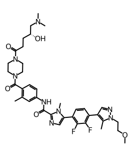 COCCn1ncc(-c2ccc(-c3cnc(C(=O)Nc4ccc(C(=O)N5CCN(C(=O)CC[C@@H](O)CN(C)C)CC5)c(C)c4)n3C)c(F)c2F)c1C